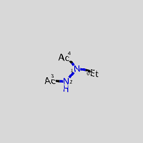 CCN(NC(C)=O)C(C)=O